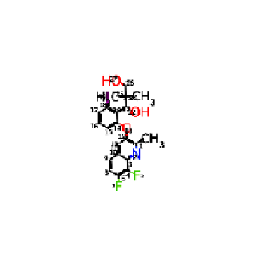 Cc1nc2c(F)c(F)ccc2cc1Oc1cccc(I)c1C(O)C(C)(C)CO